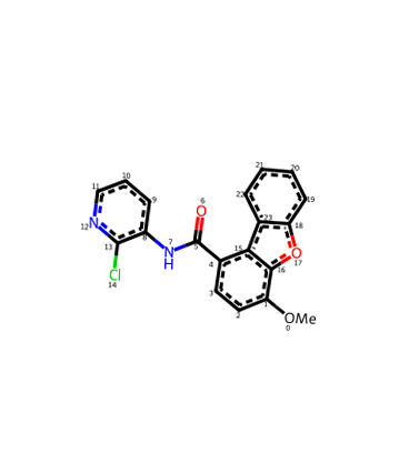 COc1ccc(C(=O)Nc2cccnc2Cl)c2c1oc1ccccc12